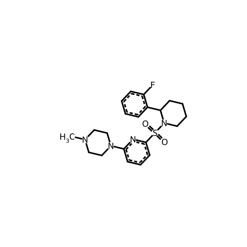 CN1CCN(c2cccc(S(=O)(=O)N3CCCCC3c3ccccc3F)n2)CC1